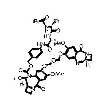 COc1cc2c(cc1OCOCOc1cc3c(cc1OC)C(=O)N1CC[C@H]1C(O)N3C(=O)OCc1ccc(NC(=O)[C@H](C)NC(=O)[C@@H](NC(=O)C(C)C)C(C)C)cc1)N=C[C@@H]1CCN1C2=O